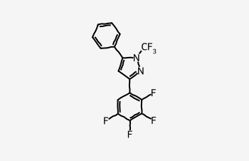 Fc1cc(-c2cc(-c3ccccc3)n(C(F)(F)F)n2)c(F)c(F)c1F